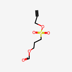 C#CCOS(=O)(=O)CCCOC=O